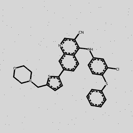 N#Cc1cnc2cc(-c3ccc(CN4CCOCC4)s3)ccc2c1Nc1ccc(Sc2ccccc2)c(Cl)c1